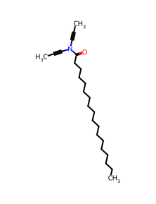 CC#CN(C#CC)C(=O)CCCCCCCCCCCCCCCCC